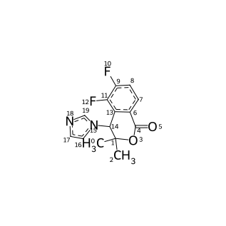 CC1(C)OC(=O)c2ccc(F)c(F)c2C1n1ccnc1